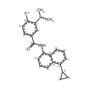 CN(C)c1cc(C(=O)Nc2cccc3c(C4CC4)cccc23)ccc1F